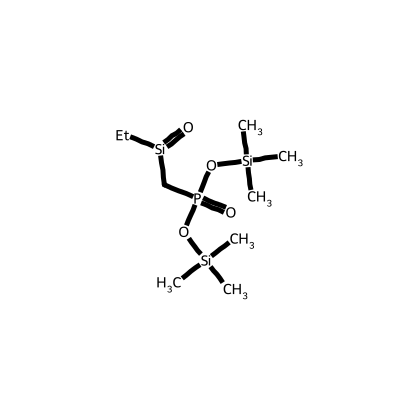 CC[Si](=O)CP(=O)(O[Si](C)(C)C)O[Si](C)(C)C